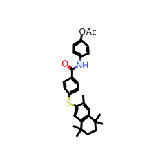 CC(=O)Oc1ccc(NC(=O)c2ccc(Sc3cc4c(cc3C)C(C)(C)CCC4(C)C)cc2)cc1